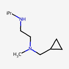 CC(C)NCCN(C)CC1CC1